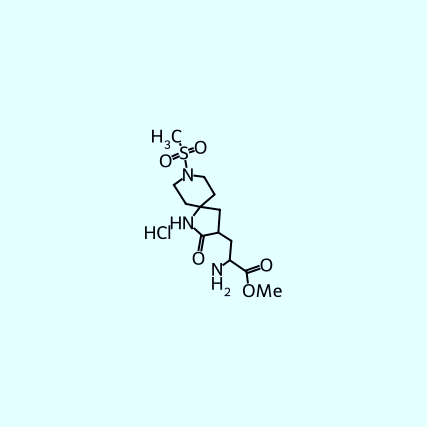 COC(=O)C(N)CC1CC2(CCN(S(C)(=O)=O)CC2)NC1=O.Cl